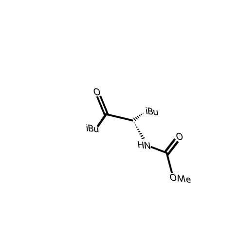 CCC(C)C(=O)[C@@H](NC(=O)OC)[C@@H](C)CC